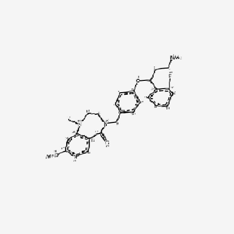 CNCCC(Oc1ccc(CN2CCN(C)c3cc(OC)ncc3C2=O)cc1)c1ccccc1F